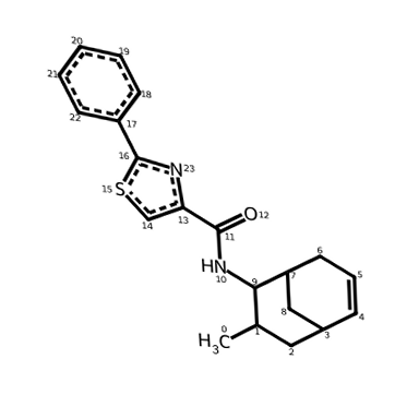 CC1CC2C=CCC(C2)C1NC(=O)c1csc(-c2ccccc2)n1